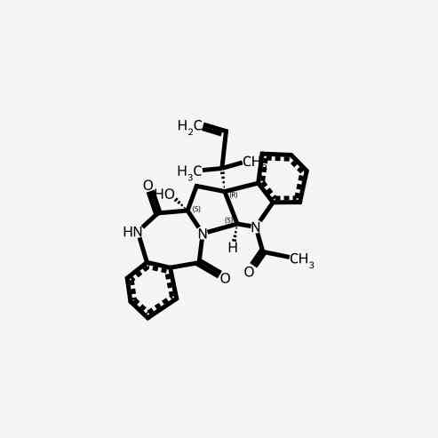 C=CC(C)(C)[C@@]12C[C@]3(O)C(=O)Nc4ccccc4C(=O)N3[C@@H]1N(C(C)=O)c1ccccc12